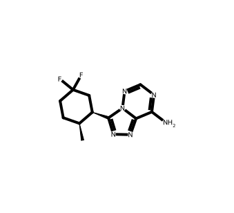 C[C@H]1CCC(F)(F)C[C@H]1c1nnc2c(N)ncnn12